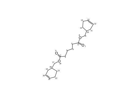 O=C(CCCCC(=O)OCC1CC=CCC1)OCC1CC=CCC1